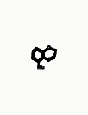 [CH2]CCCc1cccc2c1C=CCO2